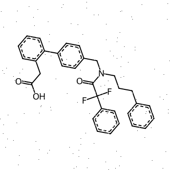 O=C(O)Cc1ccccc1-c1ccc(CN(CCCc2ccccc2)C(=O)C(F)(F)c2ccccc2)cc1